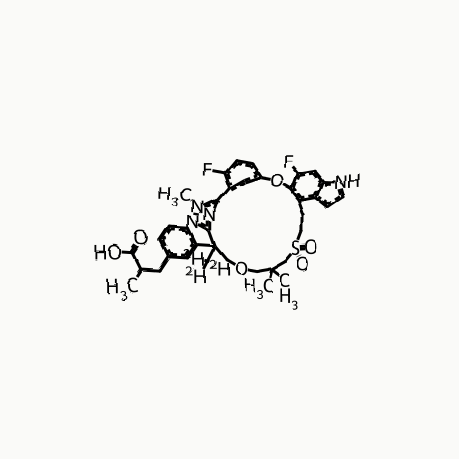 [2H]C([2H])([2H])C1(c2cccc(CC(C)C(=O)O)c2)COCC(C)(C)CS(=O)(=O)CCc2c(c(F)cc3[nH]ccc23)Oc2ccc(F)c(c2)-c2nc1nn2C